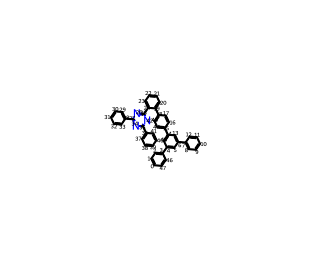 c1ccc(-c2cc(-c3ccccc3)cc(-c3ccc(-c4ccccc4-c4nc(-c5ccccc5)nc(-c5ccccc5)n4)cc3)c2)cc1